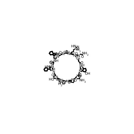 CCCC[C@H]1C(=O)N(C)[C@@H](CCCC)C(=O)NC(CCCNC(=N)N)C(=O)N[C@H](C(=O)NCC(N)=O)C/C=C/C(=O)N[C@@H](Cc2ccc(O)cc2)C(=O)N(C)[C@@H](C)C(=O)N[C@@H](CC(N)=O)C(=O)N2CCC[C@H]2C(=O)N[C@@H](CN)C(=O)N[C@@H](CC(C)C)C(=O)N2C[C@H](O)CC2C(=O)N[C@@H](Cc2c[nH]c3ccccc23)C(=O)N[C@@H](CO)C(=O)NC(Cc2c[nH]c3ccccc23)C(=O)N1C